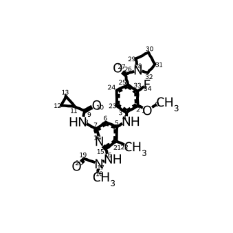 COc1c(Nc2cc(NC(=O)C3CC3)nc(NN(C)C=O)c2C)ccc(C(=O)N2CCCC2)c1F